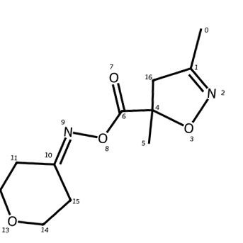 CC1=NOC(C)(C(=O)ON=C2CCOCC2)C1